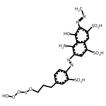 C/N=N/c1c(S(=O)(=O)O)cc2c(S(=O)(=O)O)cc(/N=N/c3ccc(CCCOSOOO)cc3S(=O)(=O)O)c(N)c2c1O